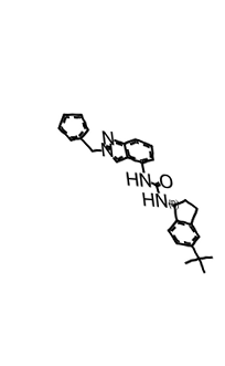 CC(C)(C)c1ccc2c(c1)CC[C@H]2NC(=O)Nc1cccc2nn(Cc3ccccc3)cc12